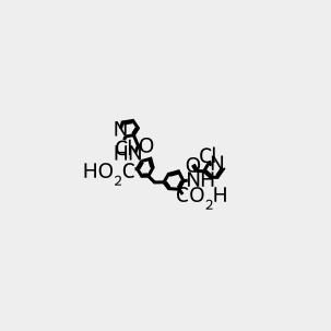 O=C(O)c1cc(Cc2ccc(NC(=O)c3cccnc3Cl)c(C(=O)O)c2)ccc1NC(=O)c1cccnc1Cl